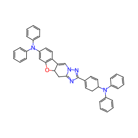 C1=CC(N(c2ccccc2)c2ccccc2)CC=C1c1nc2n(n1)C=C1c3ccc(N(c4ccccc4)c4ccccc4)cc3OC1C2